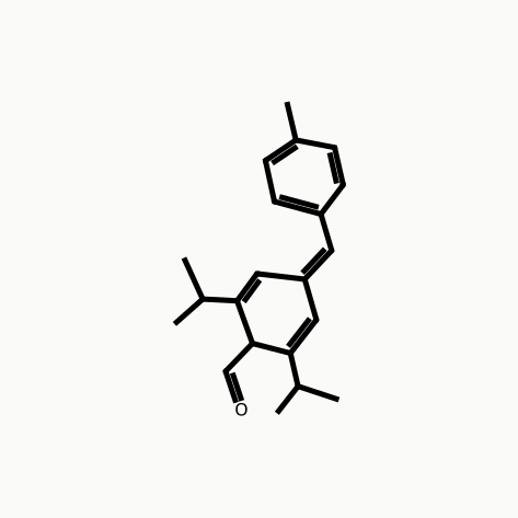 Cc1ccc(C=C2C=C(C(C)C)C(C=O)C(C(C)C)=C2)cc1